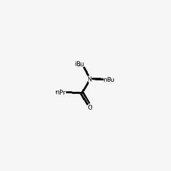 CCCCN(C(=O)CCC)C(C)CC